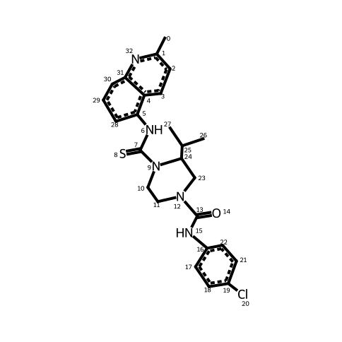 Cc1ccc2c(NC(=S)N3CCN(C(=O)Nc4ccc(Cl)cc4)CC3C(C)C)cccc2n1